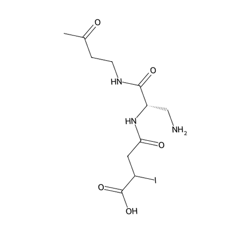 CC(=O)CCNC(=O)[C@H](CN)NC(=O)CC(I)C(=O)O